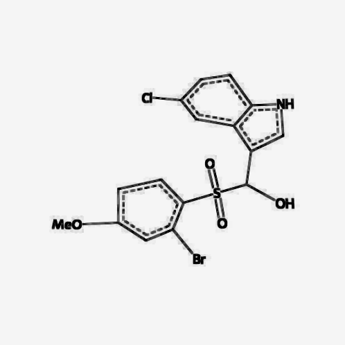 COc1ccc(S(=O)(=O)C(O)c2c[nH]c3ccc(Cl)cc23)c(Br)c1